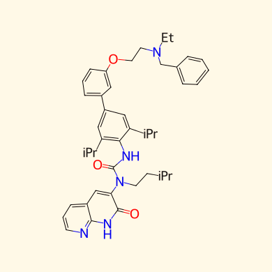 CCN(CCOc1cccc(-c2cc(C(C)C)c(NC(=O)N(CCC(C)C)c3cc4cccnc4[nH]c3=O)c(C(C)C)c2)c1)Cc1ccccc1